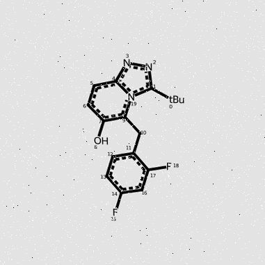 CC(C)(C)c1nnc2ccc(O)c(Cc3ccc(F)cc3F)n12